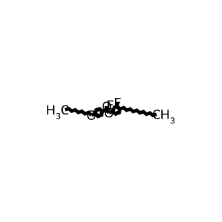 CCCCCCCCCCCc1ccc(OC(=O)c2ccc(OCCCCCCCC)cc2)c(F)c1F